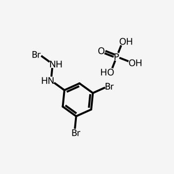 BrNNc1cc(Br)cc(Br)c1.O=P(O)(O)O